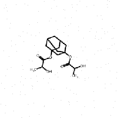 CC(O)C(=O)OC12CC3CC(C1)CC(OC(=O)C(C)O)(C3)C2